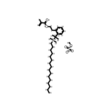 C=C(C)C(=O)OCCc1ccccc1C(C)(C)[N+](C)(C)CCCCCCCCCCCCCCCC.COS(=O)(=O)[O-]